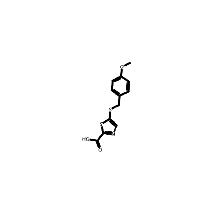 COc1ccc(CSc2cnc(C(=O)O)s2)cc1